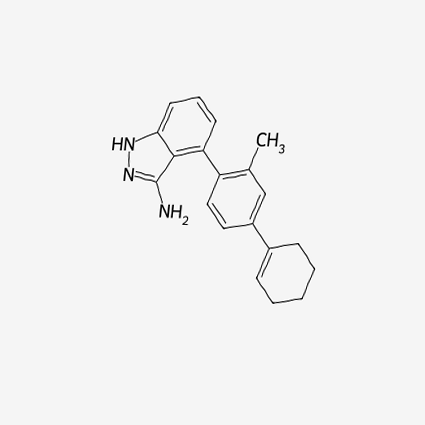 Cc1cc(C2=CCCCC2)ccc1-c1cccc2[nH]nc(N)c12